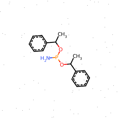 CC(OP(N)OC(C)c1ccccc1)c1ccccc1